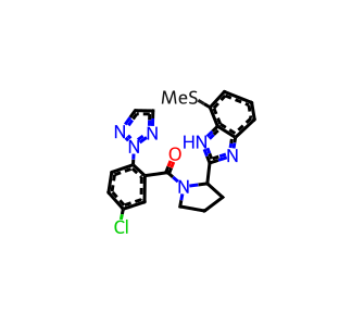 CSc1cccc2nc(C3CCCN3C(=O)c3cc(Cl)ccc3-n3nccn3)[nH]c12